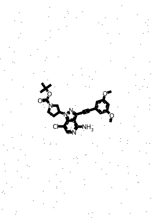 COc1cc(C#Cc2nn(C3CCN(C(=O)OC(C)(C)C)C3)c3c(Cl)cnc(N)c23)cc(OC)c1